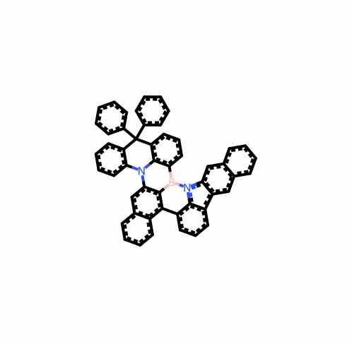 c1ccc(C2(c3ccccc3)c3ccccc3N3c4cc5ccccc5c5c4B(c4cccc2c43)n2c3cc4ccccc4cc3c3cccc-5c32)cc1